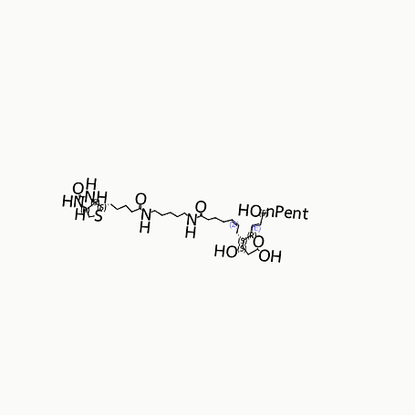 CCCCC[C@H](O)/C=C/[C@H]1OC(O)C[C@H](O)[C@@H]1C/C=C\CCCC(=O)NCCCCCNC(=O)CCCC[C@@H]1SC[C@@H]2NC(=O)N[C@@H]21